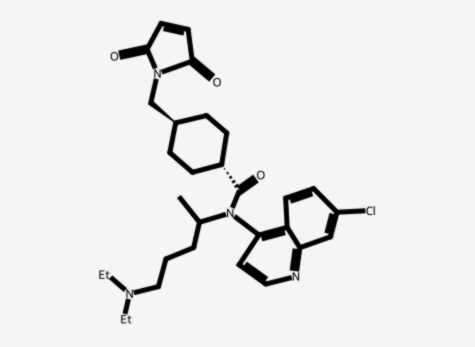 CCN(CC)CCCC(C)N(c1ccnc2cc(Cl)ccc12)C(=O)[C@H]1CC[C@H](CN2C(=O)C=CC2=O)CC1